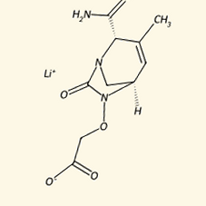 CC1=C[C@@H]2CN(C(=O)N2OCC(=O)[O-])[C@@H]1C(N)=O.[Li+]